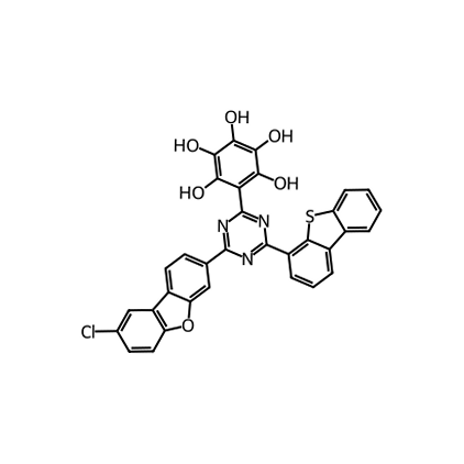 Oc1c(O)c(O)c(-c2nc(-c3ccc4c(c3)oc3ccc(Cl)cc34)nc(-c3cccc4c3sc3ccccc34)n2)c(O)c1O